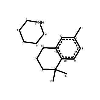 C1CCNCC1.Cc1ccc2c(c1)CCCC2(C)C